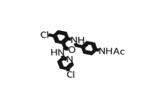 CC(=O)Nc1ccc(CNc2ccc(Cl)cc2C(=O)Nc2ccc(Cl)cn2)cc1